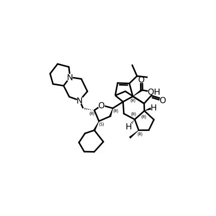 CC(C)C1=CC2CC3(C=O)[C@@H]4CC[C@@H](C)[C@H]4CC2([C@H]2C[C@@H](C4CCCCC4)[C@H](CN4CCN5CCCCC5C4)O2)[C@]13C(=O)O